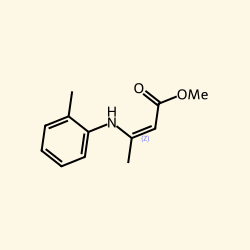 COC(=O)/C=C(/C)Nc1ccccc1C